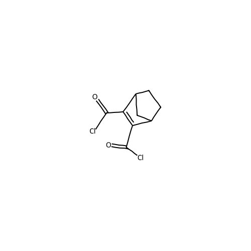 O=C(Cl)C1=C(C(=O)Cl)C2CCC1C2